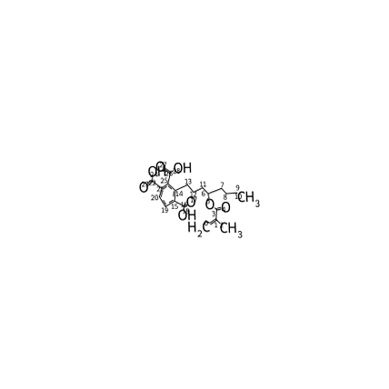 C=C(C)C(=O)OC(CCCC)CCCc1c(C(=O)O)ccc(C(=O)O)c1C(=O)O